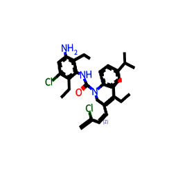 C=C(Cl)/C=C\C(CN(C(=O)Nc1c(CC)c(N)cc(Cl)c1CC)c1ccc(C(C)C)cc1)=C(CC)CC